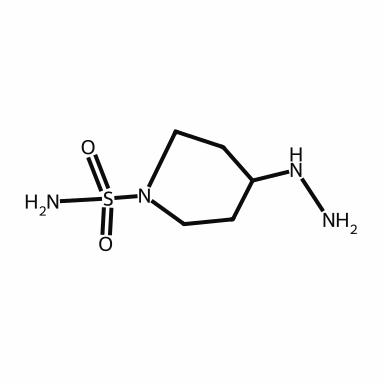 NNC1CCN(S(N)(=O)=O)CC1